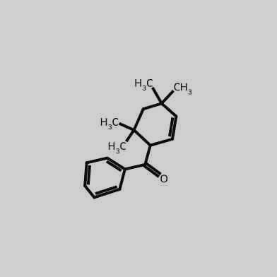 CC1(C)C=CC(C(=O)c2ccccc2)C(C)(C)C1